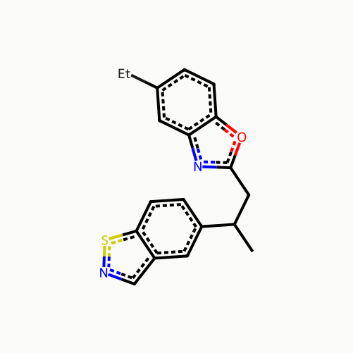 CCc1ccc2oc(CC(C)c3ccc4sncc4c3)nc2c1